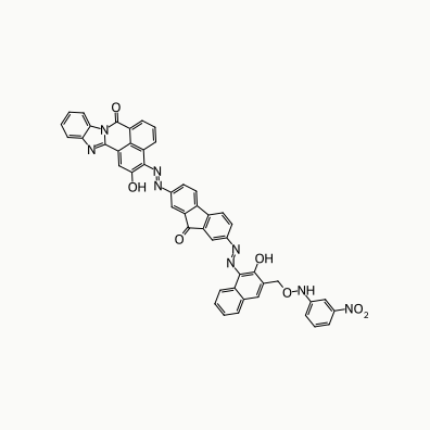 O=C1c2cc(N=Nc3c(O)c(CONc4cccc([N+](=O)[O-])c4)cc4ccccc34)ccc2-c2ccc(N=Nc3c(O)cc4c5c3cccc5c(=O)n3c5ccccc5nc43)cc21